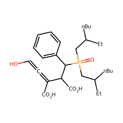 CCCCC(CC)CP(=O)(CC(CC)CCCC)C(c1ccccc1)C(C(=O)O)C(=C=CO)C(=O)O